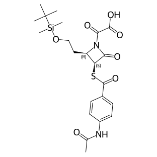 CC(=O)Nc1ccc(C(=O)S[C@@H]2C(=O)N(C(=O)C(=O)O)[C@@H]2CCO[Si](C)(C)C(C)(C)C)cc1